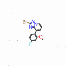 COc1cc(F)ccc1-c1cccn2nc(Br)nc12